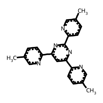 Cc1ccc(-c2cc(-c3ccc(C)cn3)nc(-c3ccc(C)cn3)n2)nc1